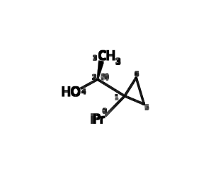 CC(C)C1([C@H](C)O)CC1